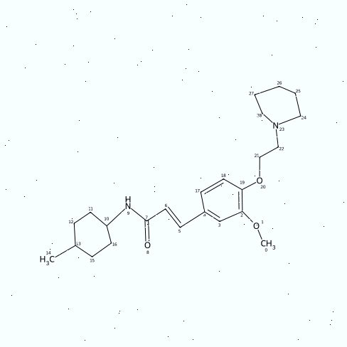 COc1cc(/C=C/C(=O)NC2CCC(C)CC2)ccc1OCCN1CCCCC1